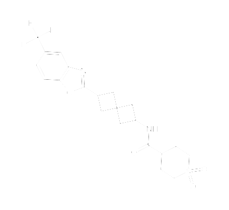 O=C(NC1CC2(C1)CC(c1nc3cc(C(F)(F)F)ccc3o1)C2)C1CCS(=O)(=O)CC1